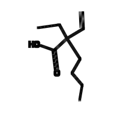 C=CC(CC)(CCCC)C(=O)O